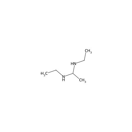 [CH2]CNC(C)NCC